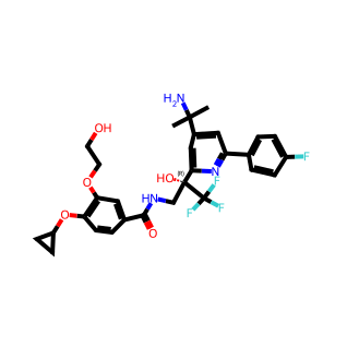 CC(C)(N)c1cc(-c2ccc(F)cc2)nc([C@](O)(CNC(=O)c2ccc(OC3CC3)c(OCCO)c2)C(F)(F)F)c1